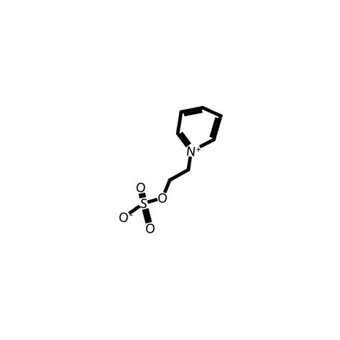 O=S(=O)([O-])OCC[n+]1ccccc1